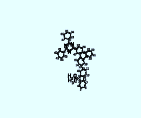 CC1(C)c2ccccc2-c2ccc(-c3ccc4c(c3)c3ccccc3c3ccc(-c5nc(-c6ccccc6)nc(-c6ccccc6)n5)cc34)cc21